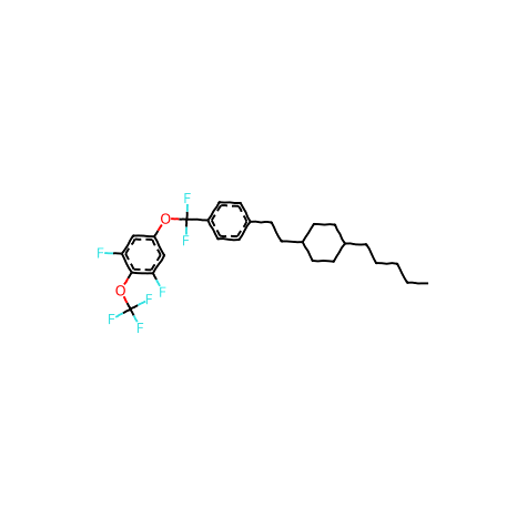 CCCCCC1CCC(CCc2ccc(C(F)(F)Oc3cc(F)c(OC(F)(F)F)c(F)c3)cc2)CC1